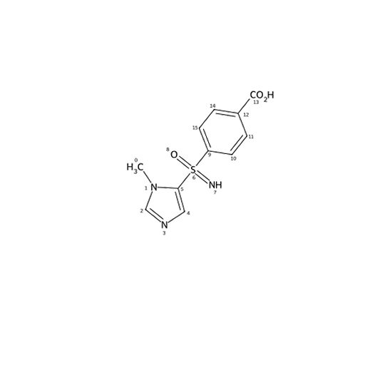 Cn1cncc1S(=N)(=O)c1ccc(C(=O)O)cc1